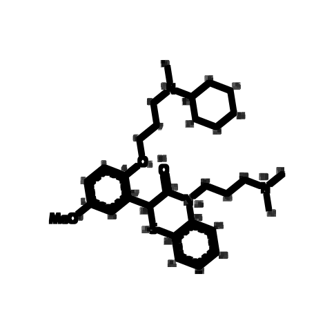 COc1ccc(OCCCN(C)C2CCCCC2)c(C2Sc3ccccc3N(CCCN(C)C)C2=O)c1